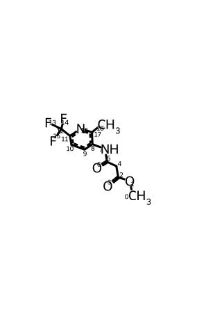 COC(=O)CC(=O)Nc1ccc(C(F)(F)F)nc1C